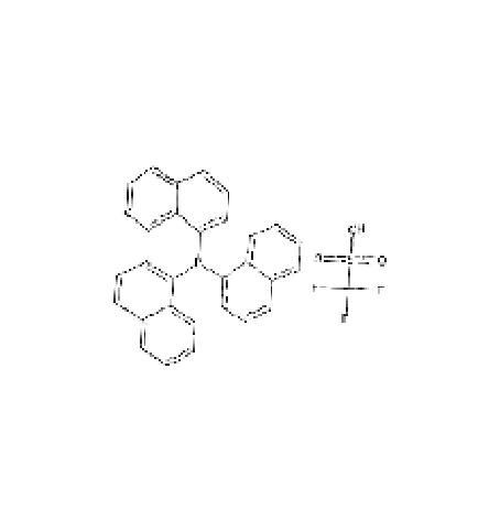 O=S(=O)(O)C(F)(F)F.c1ccc2c(P(c3cccc4ccccc34)c3cccc4ccccc34)cccc2c1